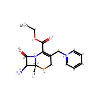 COCOC(=O)C1=C(C[n+]2ccccc2)CS[C@@H]2C(N)C(=O)N12